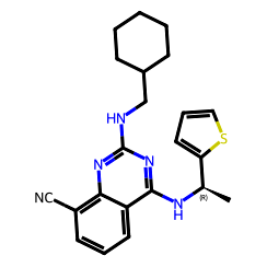 C[C@@H](Nc1nc(NCC2CCCCC2)nc2c(C#N)cccc12)c1cccs1